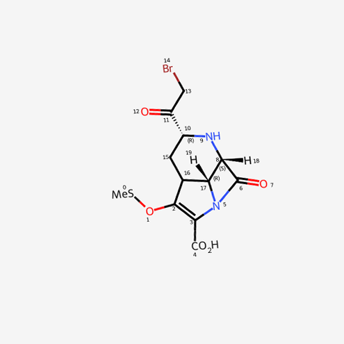 CSOC1=C(C(=O)O)N2C(=O)[C@H]3N[C@@H](C(=O)CBr)CC1[C@H]32